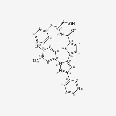 O=C(N[C@H](CO)Cc1ccccc1)c1ccc(-c2cc(-c3cccnc3)nn2-c2ccc(Cl)c(Cl)c2)s1